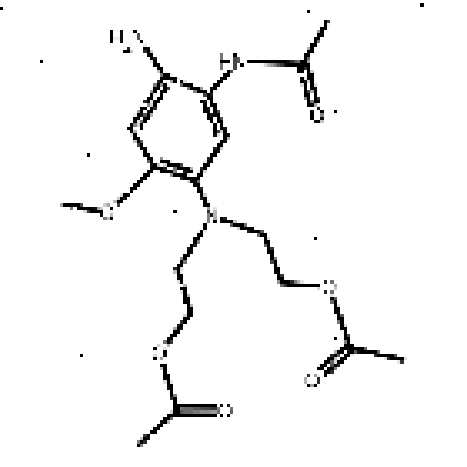 COc1cc(N)c(NC(C)=O)cc1N(CCOC(C)=O)CCOC(C)=O